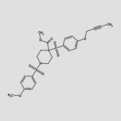 CC#CCOc1ccc(S(=O)(=O)C2(C(=O)OC)CCN(S(=O)(=O)c3ccc(OC)cc3)CC2)cc1